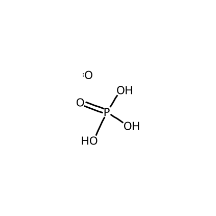 O=P(O)(O)O.[O]